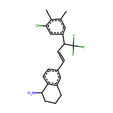 Cc1cc(C(/C=C/c2ccc3c(c2)CCCC3N)C(F)(F)F)cc(Cl)c1C